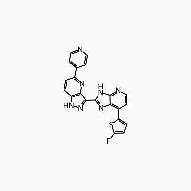 Fc1ccc(-c2ccnc3[nH]c(-c4n[nH]c5ccc(-c6ccncc6)nc45)nc23)s1